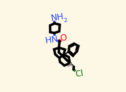 NC1CCC(NC(=O)C23CCC4CC[C@@](CCCl)(C2)C[C@@]4(c2ccccc2)C3)CC1